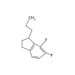 CCCC1CCc2ccc(F)c(F)c21